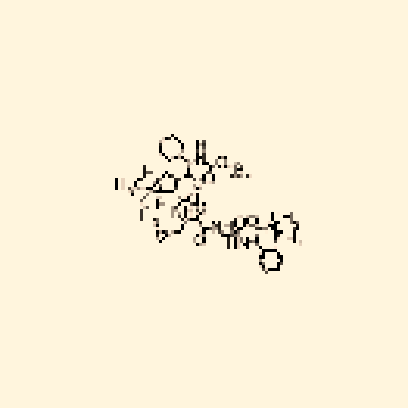 CN(C)C(=O)[C@@H](NC(=O)CNC(=O)C(=O)C(CC1CC1)NC(=O)[C@H]1C(C(=O)[C@@H](NC(=O)OC(C)(C)C)C2CCCCC2)C[C@H]2[C@@H]1C2(C)C)c1ccccc1